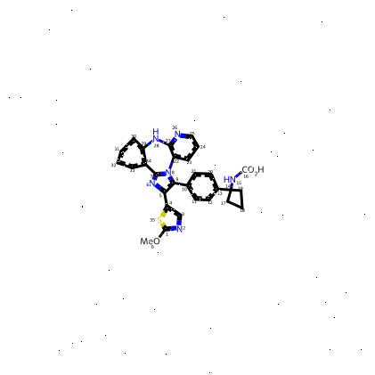 COc1ncc(-c2nc3n(c2-c2ccc(C4(NC(=O)O)CCC4)cc2)-c2cccnc2Nc2ccccc2-3)s1